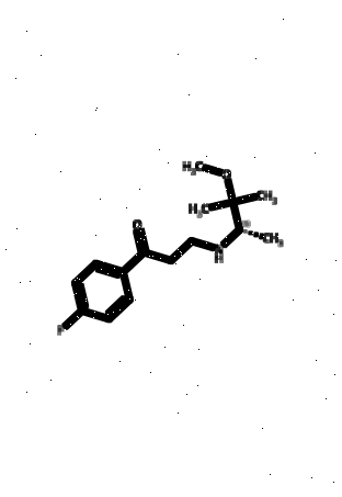 COC(C)(C)[C@H](C)NCCC(=O)c1ccc(F)cc1